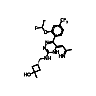 CC(=N)/C=C1\NC(NC[C@H]2C[C@@](C)(O)C2)=NN=C1c1ccc(C(F)(F)F)cc1OC(F)F